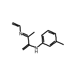 C=C/N=C(\C)C(=C)Nc1cccc(C)c1